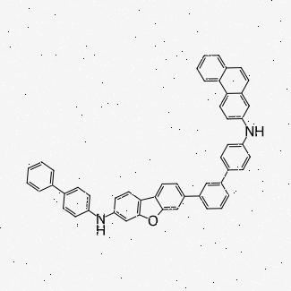 c1ccc(-c2ccc(Nc3ccc4c(c3)oc3cc(-c5cccc(-c6ccc(Nc7ccc8c(ccc9ccccc98)c7)cc6)c5)ccc34)cc2)cc1